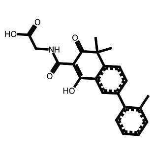 Cc1ccccc1-c1ccc2c(c1)C(O)=C(C(=O)NCC(=O)O)C(=O)C2(C)C